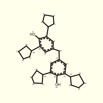 Oc1c(C2CCCC2)cc(Cc2cc(C3CCCC3)c(O)c(C3CCCC3)c2)cc1C1CCCC1